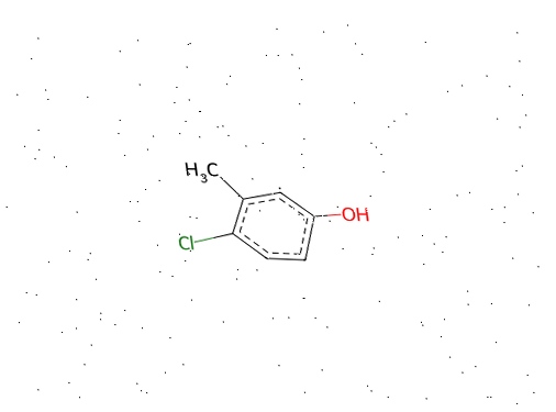 Cc1[c]c(O)ccc1Cl